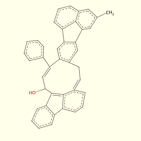 Cc1cc2c3c(cccc3c1)-c1cc3c(cc1-2)C/C=c1/cccc2c1=C(c1ccccc1-2)C(O)/C=C\3c1ccccc1